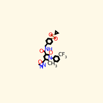 Cc1c(-c2nnco2)cc(C(=O)NCc2ccc(S(=O)(=O)C3CC3)cc2)c(=O)n1-c1cccc(C(F)(F)F)c1